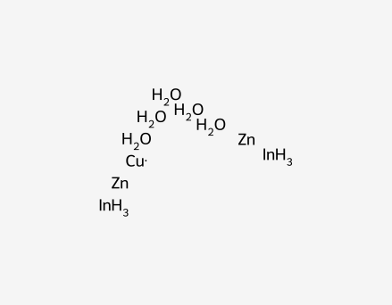 O.O.O.O.O.[Cu].[InH3].[InH3].[Zn].[Zn]